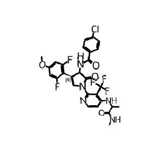 CNC(=O)C(C)Nc1ccnc(N2C[C@@H](c3c(F)cc(OC)cc3F)C(NC(=O)c3ccc(Cl)cc3)C2=O)c1C(F)(F)F